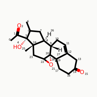 CC(=O)[C@@]1(O)C(C)C[C@H]2[C@@H]3CC=C4CC(=O)CC[C@]4(C)[C@]34OC4C[C@@]21C